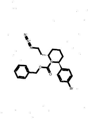 [N-]=[N+]=NCC[C@@H]1CCC[C@@H](c2ccc(Br)cc2)N1C(=O)OCc1ccccc1